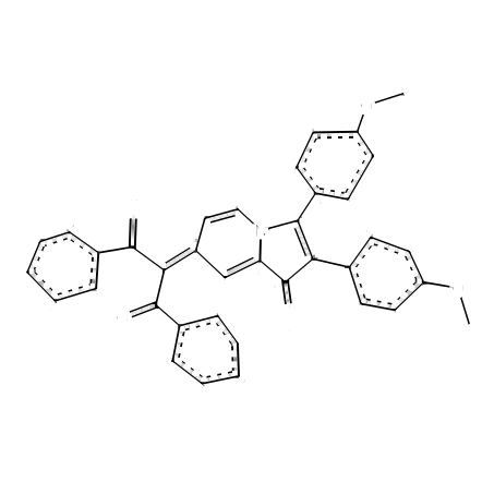 COc1ccc(C2=C(c3ccc(OC)cc3)N3C=CC(=C(C(=O)c4ccccc4)C(=O)c4ccccc4)C=C3C2=O)cc1